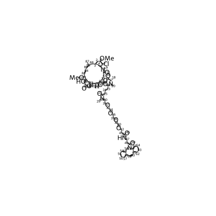 COc1cc2cc(c1Cl)N(C)C(=O)C[C@H](OC(=O)[C@H](C)N(C)C(=O)CCCC(=O)N(C)CCOCCOCCOCCOCCC(=O)NCCC(=O)N1Cc3ccccc3C#Cc3ccccc31)[C@]1(C)O[C@H]1[C@H](C)[C@@H]1C[C@@](O)(CC(=O)O1)[C@H](OC)/C=C/C=C(/C)C2